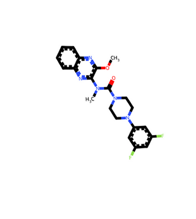 COc1nc2ccccc2nc1N(C)C(=O)N1CCN(c2cc(F)cc(F)c2)CC1